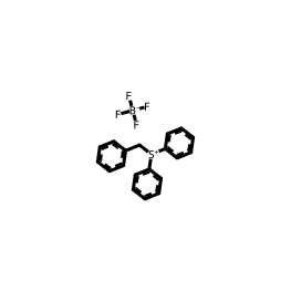 F[B-](F)(F)F.c1ccc(C[S+](c2ccccc2)c2ccccc2)cc1